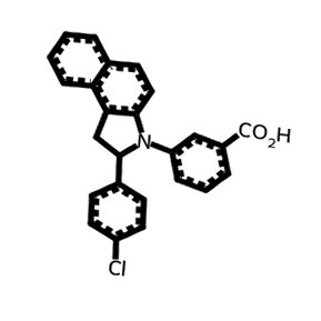 O=C(O)c1cccc(N2c3ccc4ccccc4c3CC2c2ccc(Cl)cc2)c1